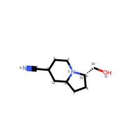 N#CC1CCN2C(CC[C@H]2CO)C1